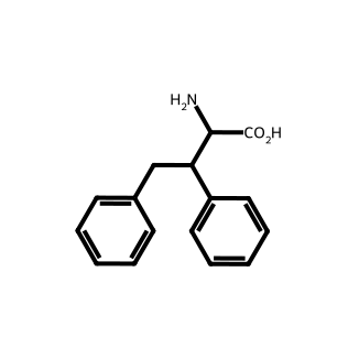 NC(C(=O)O)C(Cc1ccccc1)c1ccccc1